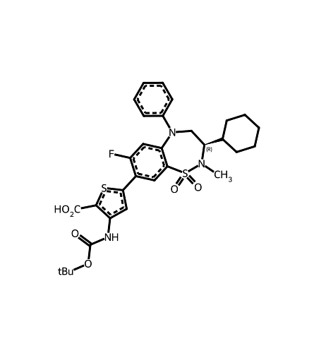 CN1[C@H](C2CCCCC2)CN(c2ccccc2)c2cc(F)c(-c3cc(NC(=O)OC(C)(C)C)c(C(=O)O)s3)cc2S1(=O)=O